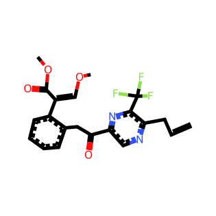 C=CCc1ncc(C(=O)Cc2ccccc2C(=COC)C(=O)OC)nc1C(F)(F)F